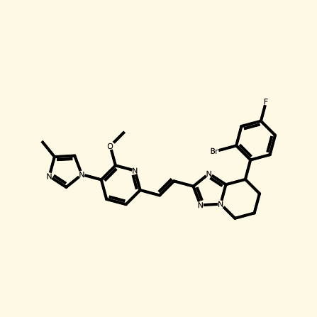 COc1nc(/C=C/c2nc3n(n2)CCCC3c2ccc(F)cc2Br)ccc1-n1cnc(C)c1